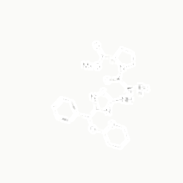 CC[C@H](C)[C@H](Nc1nc(C(OC2CCCCO2)c2ccccc2)ns1)C(=O)N1CCC[C@H]1C(=O)OC